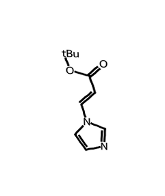 CC(C)(C)OC(=O)C=Cn1ccnc1